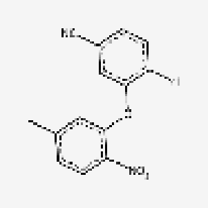 N#Cc1ccc(Cl)c(Oc2cc(F)ccc2[N+](=O)[O-])c1